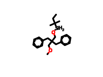 CCC(C)(C)[SiH2]OCC(COC)(Cc1ccccc1)Cc1ccccc1